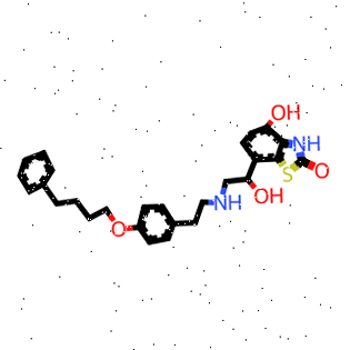 O=c1[nH]c2c(O)ccc(C(O)CNCCc3ccc(OCCCCc4ccccc4)cc3)c2s1